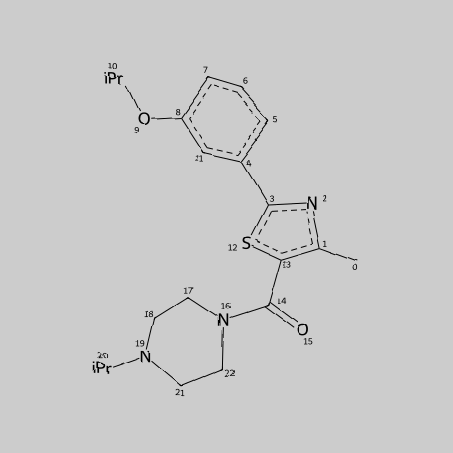 Cc1nc(-c2cccc(OC(C)C)c2)sc1C(=O)N1CCN(C(C)C)CC1